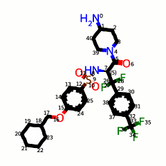 NC1CCN(C(=O)[C@H](NS(=O)(=O)c2ccc(OCC3CCCCC3)cc2)C(F)(F)c2ccc(C(F)(F)F)cc2)CC1